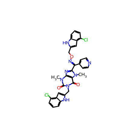 Cn1c(C(=NOCc2cc3c(Cl)cccc3[nH]2)c2ccncc2)nc2c1c(=O)n(Cc1cc3c(Cl)cccc3[nH]1)c(=O)n2C